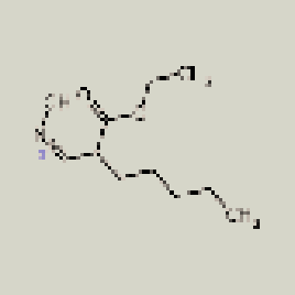 CCCCCC(/C=N\O)C(=O)OCC